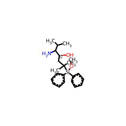 CO[Si](c1ccccc1)(c1ccccc1)C(C)(C)C[C@H](O)C(N)C(C)C